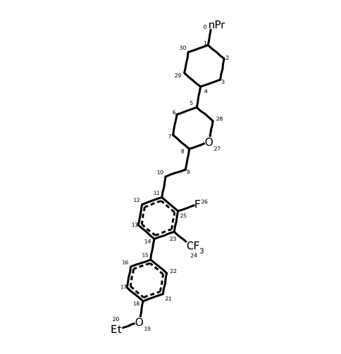 CCCC1CCC(C2CCC(CCc3ccc(-c4ccc(OCC)cc4)c(C(F)(F)F)c3F)OC2)CC1